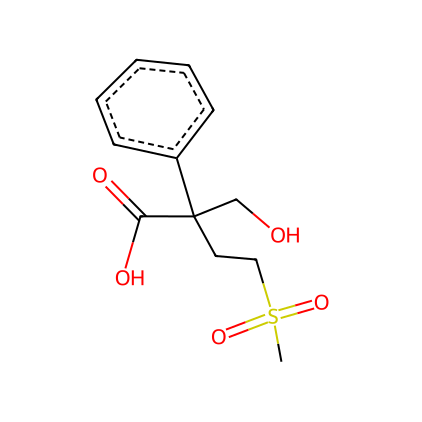 CS(=O)(=O)CCC(CO)(C(=O)O)c1ccccc1